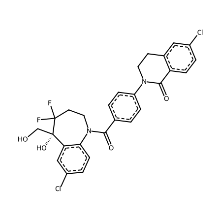 O=C1c2ccc(Cl)cc2CCN1c1ccc(C(=O)N2CCC(F)(F)[C@](O)(CO)c3cc(Cl)ccc32)cc1